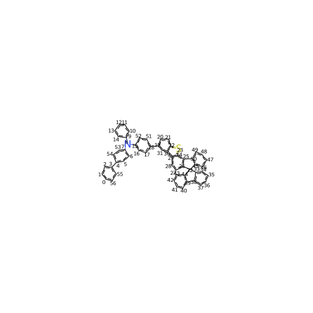 c1ccc(-c2ccc(N(c3ccccc3)c3ccc(-c4ccc5sc6c7c(ccc6c5c4)C4(c5ccccc5-c5ccccc54)c4ccccc4-7)cc3)cc2)cc1